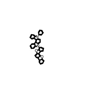 c1ccc(-n2c3ccccc3c3c4c5ccccc5n(-c5cccc6c5oc5ccc7c8ccccc8oc7c56)c4ccc32)cc1